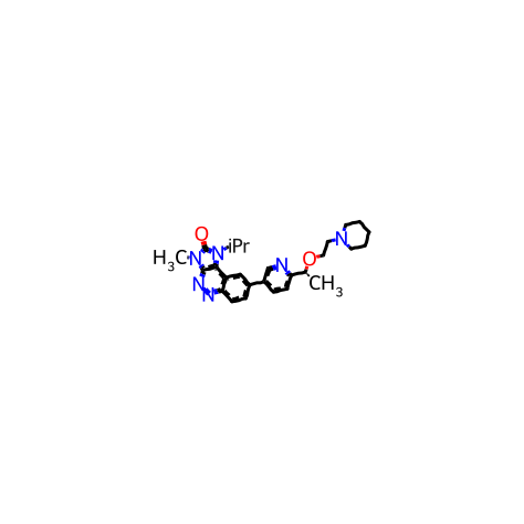 CC(C)n1c(=O)n(C)c2nnc3ccc(-c4ccc([C@@H](C)OCCN5CCCCC5)nc4)cc3c21